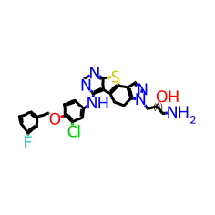 NC[C@@H](O)Cn1ncc2c1CCc1c-2sc2ncnc(Nc3ccc(OCc4cccc(F)c4)c(Cl)c3)c12